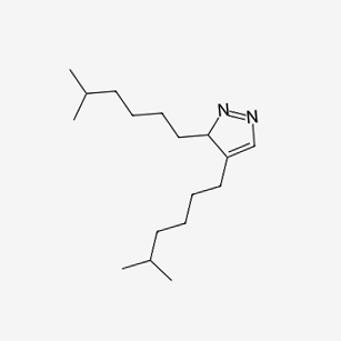 CC(C)CCCCC1=CN=NC1CCCCC(C)C